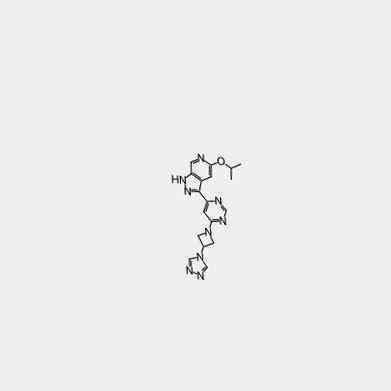 CC(C)Oc1cc2c(-c3cc(N4CC(n5cnnc5)C4)ncn3)n[nH]c2cn1